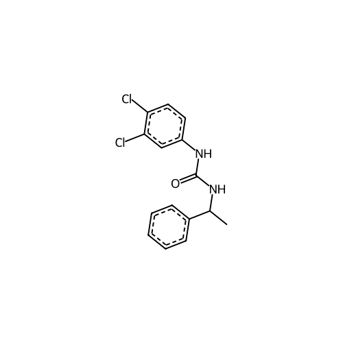 CC(NC(=O)Nc1ccc(Cl)c(Cl)c1)c1ccccc1